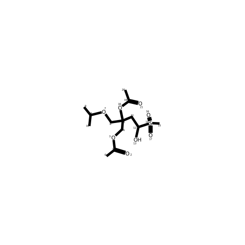 CC(=O)OCC(COC(C)C)(CC(O)S(C)(=O)=O)OC(C)=O